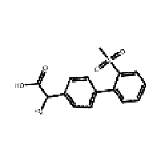 CS(=O)(=O)c1ccccc1-c1ccc(C(O)C(=O)O)cc1